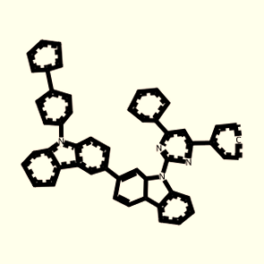 C1=CC2c3ccccc3N(c3nc(-c4ccccc4)cc(-c4ccccc4)n3)C2C=C1c1ccc2c(c1)c1ccccc1n2-c1ccc(-c2ccccc2)cc1